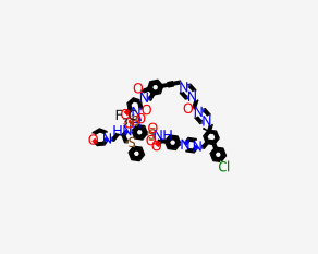 C[C@@]1(CN2CCN(C(=O)CN3CCN(CC#Cc4ccc5c(c4)CN(C4CCC(=O)NC4=O)C5=O)CC3)CC2)CCC(c2ccc(Cl)cc2)=C(CN2CCN(c3ccc(C(=O)NS(=O)(=O)c4ccc(N[C@H](CCN5CCCOCC5)CSc5ccccc5)c(S(=O)(=O)C(F)(F)F)c4)cc3)CC2)C1